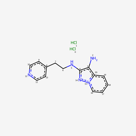 Cl.Cl.Nc1c(NCCc2ccncc2)nn2ccccc12